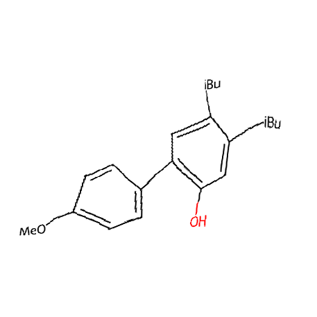 CCC(C)c1cc(O)c(-c2ccc(OC)cc2)cc1C(C)CC